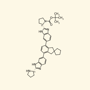 CC(C)(C)OC(=O)N1CCC[C@H]1c1nc2ccc(-c3ccc(-c4ccc5nc([C@@H]6CCCN6)[nH]c5c4)c4c3CC3(CCCC3)C4)cc2[nH]1